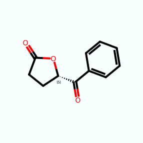 O=C1CC[C@@H](C(=O)c2ccccc2)O1